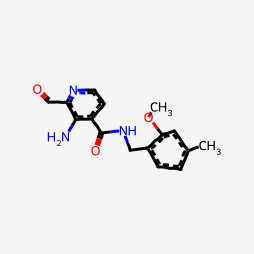 COc1cc(C)ccc1CNC(=O)c1ccnc(C=O)c1N